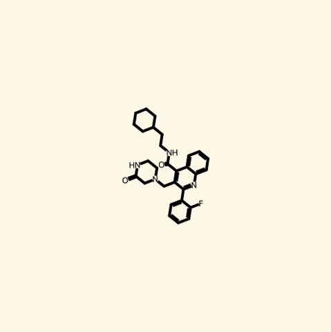 O=C1CN(Cc2c(-c3ccccc3F)nc3ccccc3c2C(=O)NCCC2CCCCC2)CCN1